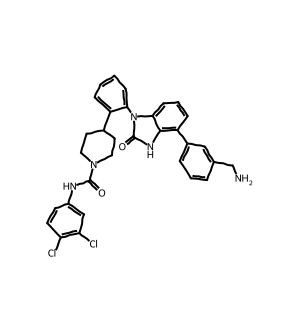 NCc1cccc(-c2cccc3c2[nH]c(=O)n3-c2ccccc2C2CCN(C(=O)Nc3ccc(Cl)c(Cl)c3)CC2)c1